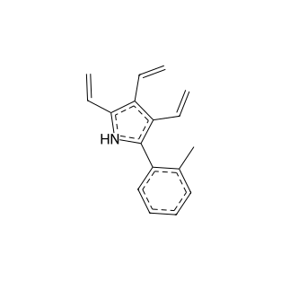 C=Cc1[nH]c(-c2ccccc2C)c(C=C)c1C=C